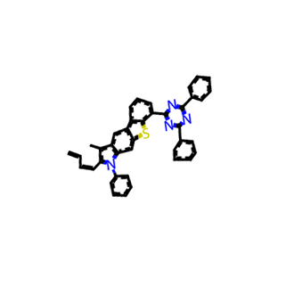 C=C/C=C\c1c(C)c2cc3c(cc2n1-c1ccccc1)sc1c(-c2nc(-c4ccccc4)nc(-c4ccccc4)n2)cccc13